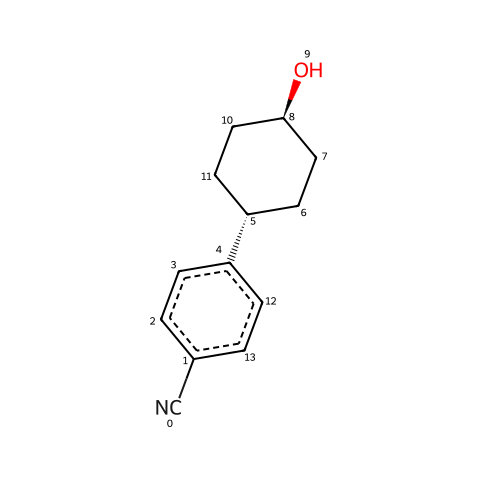 N#Cc1ccc([C@H]2CC[C@H](O)CC2)cc1